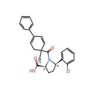 N#CC1(C(=O)N2[C@@H](c3ccccc3Cl)CC[C@H]2C(=O)O)C=CC(c2ccccc2)=CC1